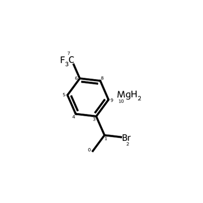 CC(Br)c1ccc(C(F)(F)F)cc1.[MgH2]